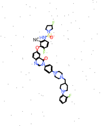 N#Cc1c(N[S+]([O-])N2CCC(F)C2)ccc(F)c1Oc1ccc2ncn(-c3ccc(N4CCN(CC5CCN(c6ccccc6F)CC5)CC4)cc3)c(=O)c2c1